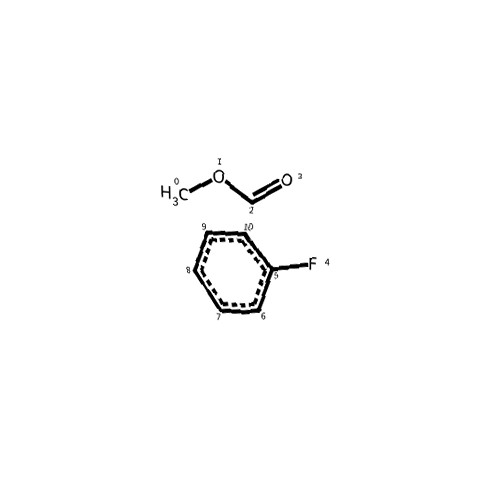 COC=O.Fc1ccccc1